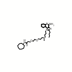 CCCCc1nc2c(N)nc3ccccc3c2n1CCCCN(C)CCCOCCOCCC(=O)NC1CCCCCCCC1